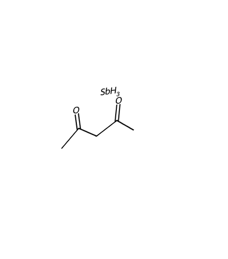 CC(=O)CC(C)=O.[SbH3]